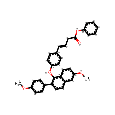 COc1ccc(-c2ccc3cc(OC)ccc3c2Oc2ccc(C=CCC(=O)Oc3ccccc3)cc2)cc1